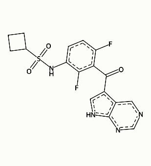 O=C(c1c(F)ccc(NS(=O)(=O)C2CCC2)c1F)c1c[nH]c2ncncc12